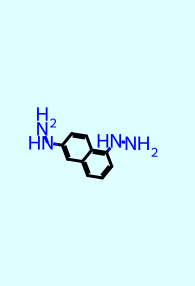 NNc1ccc2c(NN)cccc2c1